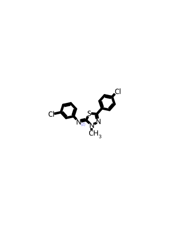 Cn1nc(-c2ccc(Cl)cc2)s/c1=N\c1cccc(Cl)c1